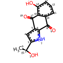 C[C@H](O)c1cc2c([nH]1)C(=O)c1cccc(O)c1C2=O